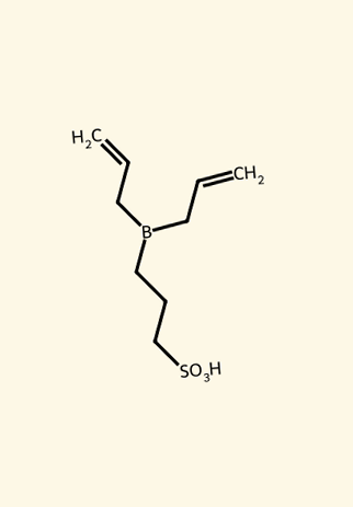 C=CCB(CC=C)CCCS(=O)(=O)O